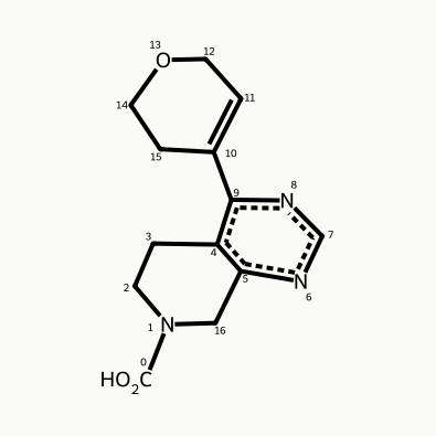 O=C(O)N1CCc2c(ncnc2C2=CCOCC2)C1